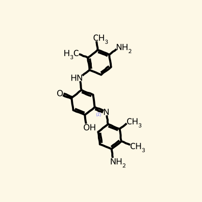 Cc1c(N)ccc(/N=C2/C=C(Nc3ccc(N)c(C)c3C)C(=O)C=C2O)c1C